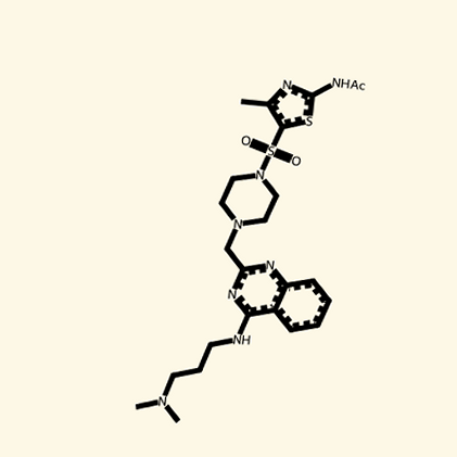 CC(=O)Nc1nc(C)c(S(=O)(=O)N2CCN(Cc3nc(NCCCN(C)C)c4ccccc4n3)CC2)s1